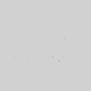 Cc1nc(N)ccc1CNC(=O)[C@H](C)NC(=O)[C@H]1C[C@H](Cc2ccc(-c3cccnc3)cc2)CN1